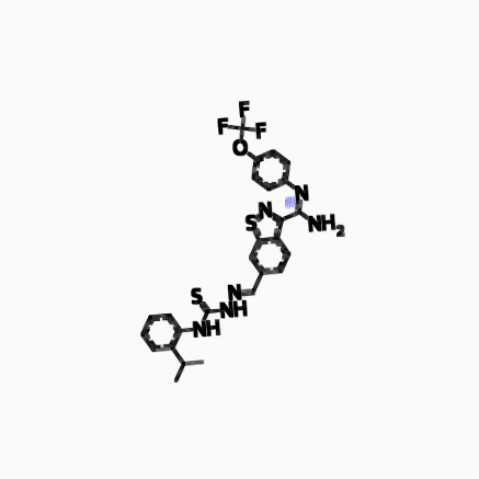 CC(C)c1ccccc1NC(=S)NN=Cc1ccc2c(/C(N)=N\c3ccc(OC(F)(F)F)cc3)nsc2c1